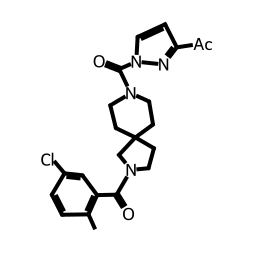 CC(=O)c1ccn(C(=O)N2CCC3(CCN(C(=O)c4cc(Cl)ccc4C)C3)CC2)n1